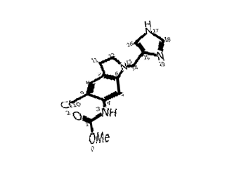 COC(=O)Nc1cc2c(cc1Cl)CCN2Cc1c[nH]cn1